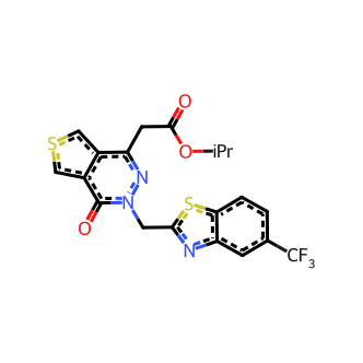 CC(C)OC(=O)Cc1nn(Cc2nc3cc(C(F)(F)F)ccc3s2)c(=O)c2cscc12